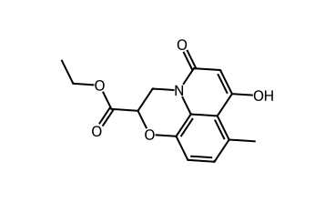 CCOC(=O)C1Cn2c(=O)cc(O)c3c(C)ccc(c32)O1